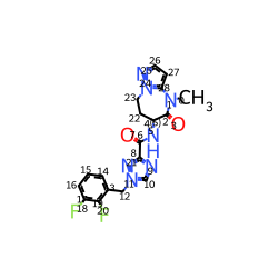 CN1C(=O)[C@@H](NC(=O)c2ncn(Cc3cccc(F)c3F)n2)CCn2nccc21